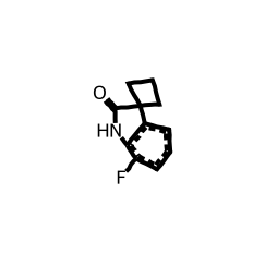 O=C1Nc2c(F)cccc2C12CCC2